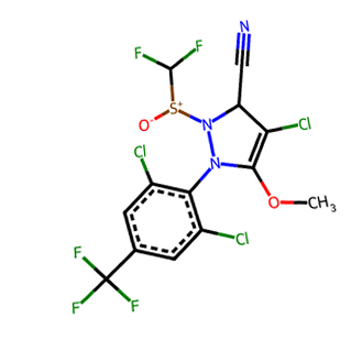 COC1=C(Cl)C(C#N)N([S+]([O-])C(F)F)N1c1c(Cl)cc(C(F)(F)F)cc1Cl